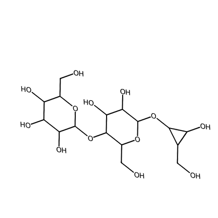 OCC1OC(OC2C(CO)OC(OC3C(O)C3CO)C(O)C2O)C(O)C(O)C1O